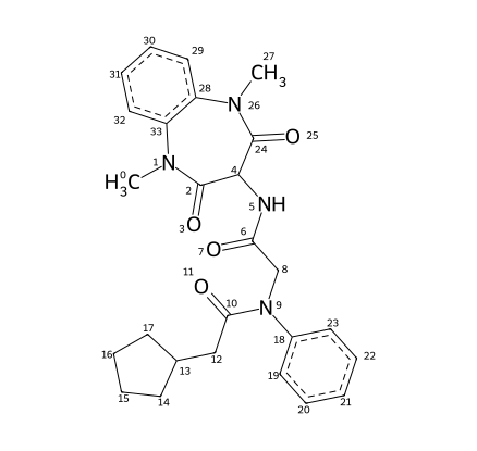 CN1C(=O)C(NC(=O)CN(C(=O)CC2CCCC2)c2ccccc2)C(=O)N(C)c2ccccc21